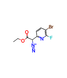 CCOC(=O)C([N+]#N)c1ccc(Br)c(F)n1